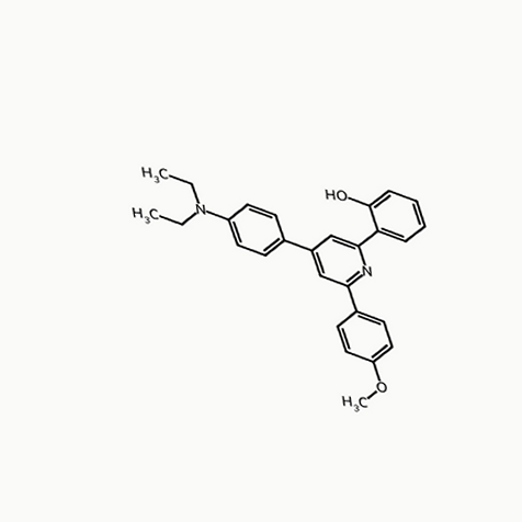 CCN(CC)c1ccc(-c2cc(-c3ccc(OC)cc3)nc(-c3ccccc3O)c2)cc1